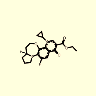 CCOC(=O)c1cn(C2CC2)c2c3c(c(F)cc2c1=O)N1CCC[C@@H]1CCO3